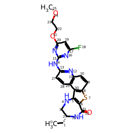 CC[C@@H]1CNc2c(sc3ccc4nc(Nc5nc(F)cc(OCCOC)n5)ccc4c23)C(=O)N1